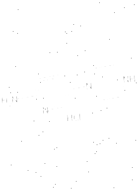 Cl.Nc1ccc(N2CCNCC2)cn1